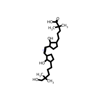 CC(C)(CO)CCCC1CCC(/C=C\C2CCC(CCCC(C)(C)C(=O)O)C2O)C1O